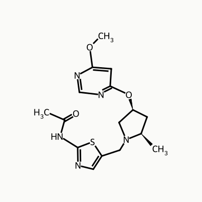 COc1cc(O[C@H]2C[C@@H](C)N(Cc3cnc(NC(C)=O)s3)C2)ncn1